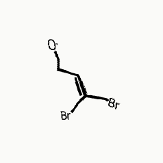 [O]CC=C(Br)Br